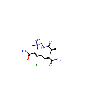 C=C(C)C(=O)NC[N+](C)(C)CCC.NC(=O)C=CCC=CC(N)=O.[Cl-]